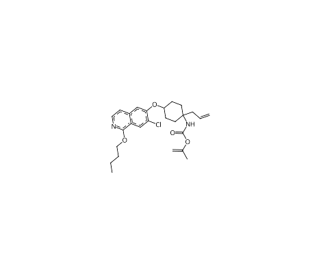 C=CCC1(NC(=O)OC(=C)C)CCC(Oc2cc3ccnc(OCCCC)c3cc2Cl)CC1